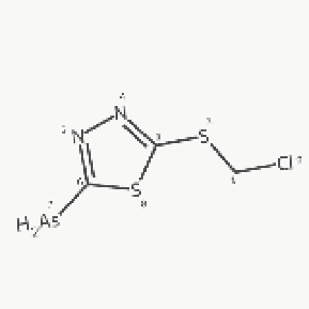 ClCSc1nnc([AsH2])s1